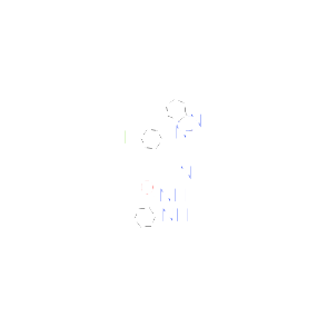 CNc1ccccc1C(=O)NCCN1CCC(Cc2nc3ccccc3n2Cc2ccc(F)cc2)CC1